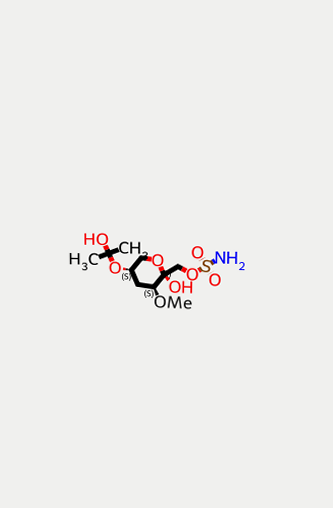 CO[C@H]1C[C@H](OC(C)(C)O)CO[C@]1(O)COS(N)(=O)=O